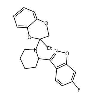 CCC1(N2CCCCC2c2noc3cc(F)ccc23)COc2ccccc2O1